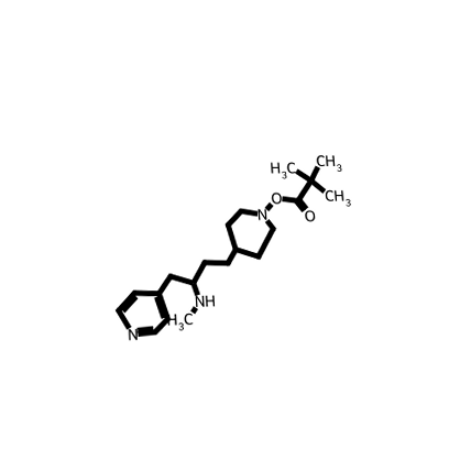 CNC(CCC1CCN(OC(=O)C(C)(C)C)CC1)Cc1ccncc1